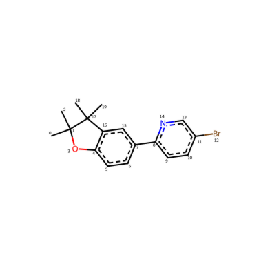 CC1(C)Oc2ccc(-c3ccc(Br)cn3)cc2C1(C)C